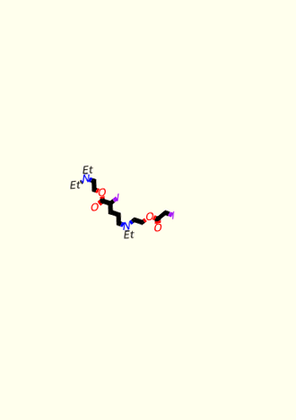 CCN(CC)CCOC(=O)C(I)CCCN(CC)CCOC(=O)CI